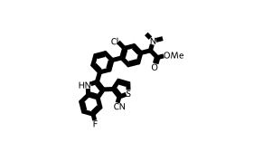 COC(=O)C(c1ccc(-c2cccc(-c3[nH]c4ccc(F)cc4c3-c3ccsc3C#N)c2)c(Cl)c1)N(C)C